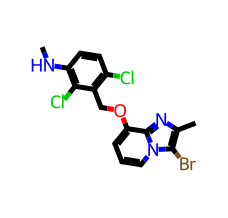 CNc1ccc(Cl)c(COc2cccn3c(Br)c(C)nc23)c1Cl